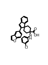 O=C(O)C1(Nc2cccc(Cl)c2)CCC2(CC1)C(c1ccc3occc3c1)=Cc1ccccc12